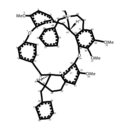 COc1ccc2cc1Oc1ccc(cc1)C[C@H]1c3cc(c(OC)cc3CCC1(C)Cc1ccccc1)Oc1c(OC)c(OC)cc3c1[C@H](C2)[N+](C)(Cc1ccccc1)CC3